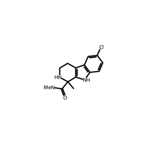 CNC(=O)C1(C)NCCc2c1[nH]c1ccc(Cl)cc21